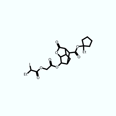 CCC(I)C(=O)OCC(=O)OC1C2CC3C1OC(=O)C3C2C(=O)OC1(CC)CCCC1